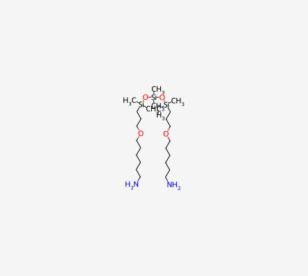 C[Si](C)(CCCOCCCCCCN)O[Si](C)(C)O[Si](C)(C)CCCOCCCCCCN